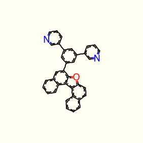 c1cncc(-c2cc(-c3cccnc3)cc(-c3cc4ccccc4c4c3oc3ccc5ccccc5c34)c2)c1